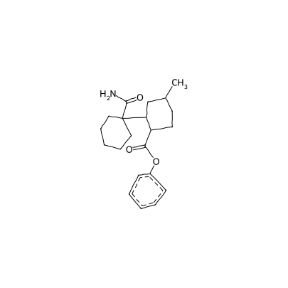 CC1CCC(C(=O)Oc2ccccc2)C(C2(C(N)=O)CCCCC2)C1